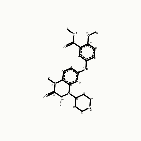 COC(=O)c1cc(Nc2ccc3c(n2)N(C2CCOCC2)[C@H](C)C(=O)N3C)ccc1OC